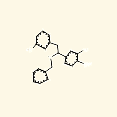 Cc1cccc(CC(OCc2ccccc2)c2ccc(C(=O)O)c(O)c2)c1